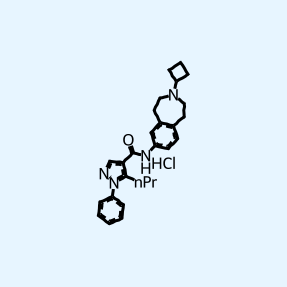 CCCc1c(C(=O)Nc2ccc3c(c2)CCN(C2CCC2)CC3)cnn1-c1ccccc1.Cl